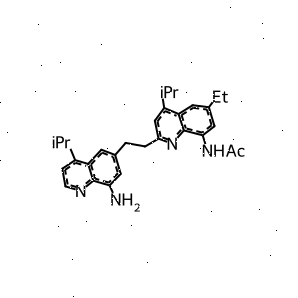 CCc1cc(NC(C)=O)c2nc(CCc3cc(N)c4nccc(C(C)C)c4c3)cc(C(C)C)c2c1